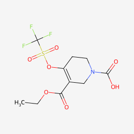 CCOC(=O)C1=C(OS(=O)(=O)C(F)(F)F)CCN(C(=O)O)C1